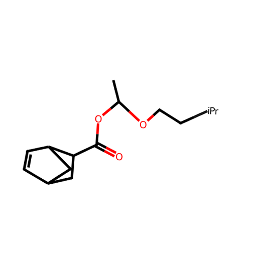 CC(C)CCOC(C)OC(=O)C1CC2C=CC1C2